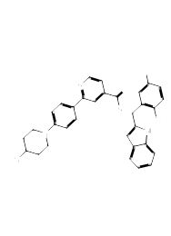 NC1CCN(c2ccc(-c3cc(C(=O)N[C@@H](c4cc5ccccc5[nH]4)c4cc(F)ccc4O)ccn3)cc2)CC1